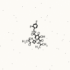 CC(C)N1C[C@]2(C[C@@H](C(=O)N(C)C)C2)n2cc(C(=O)NCc3ccc(F)cc3F)c(=O)c(O)c2C1=O